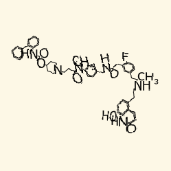 CC(Cc1ccc(F)c(CC(=O)NCc2ccc(N(C)C(=O)CCN3CCC(OC(=O)Nc4ccccc4-c4ccccc4)CC3)cc2)c1)NCCc1ccc(O)c2[nH]c(=O)ccc12